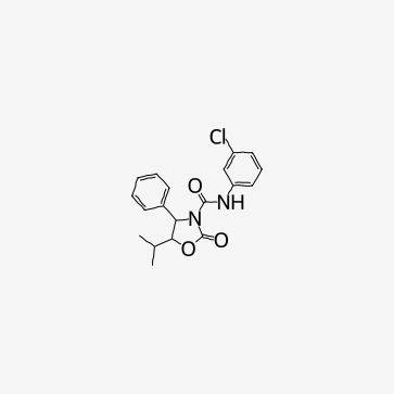 CC(C)C1OC(=O)N(C(=O)Nc2cccc(Cl)c2)C1c1ccccc1